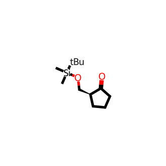 CC(C)(C)[Si](C)(C)OC[C@@H]1CCCC1=O